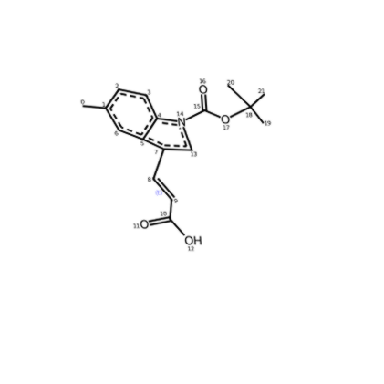 Cc1ccc2c(c1)c(/C=C/C(=O)O)cn2C(=O)OC(C)(C)C